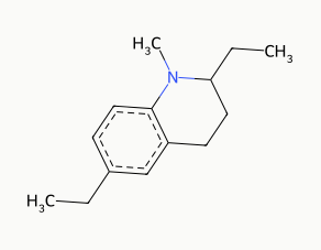 CCc1ccc2c(c1)CCC(CC)N2C